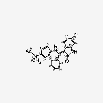 CC(=O)N(C)c1ccc(NC(=C2C(=O)Nc3cc(Cl)ccc32)c2ccccc2)cc1